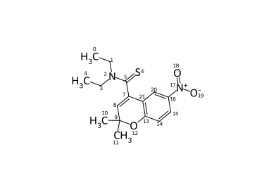 CCN(CC)C(=S)C1=CC(C)(C)Oc2ccc([N+](=O)[O-])cc21